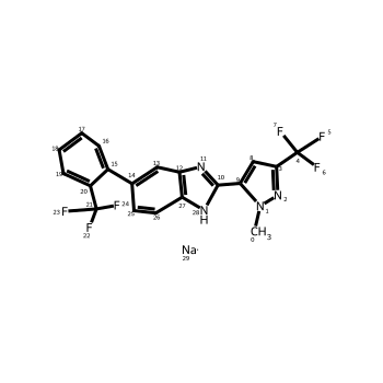 Cn1nc(C(F)(F)F)cc1-c1nc2cc(-c3ccccc3C(F)(F)F)ccc2[nH]1.[Na]